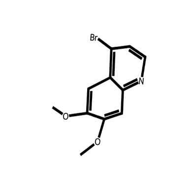 COc1cc2nccc(Br)c2cc1OC